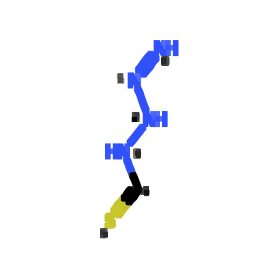 N=NNNC=S